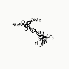 CNC(=O)c1cc(=O)n(CCN2CCC(NCc3cc4c(C(F)(F)F)nn(C)c4s3)CC2)c2cc(OC)ccc12